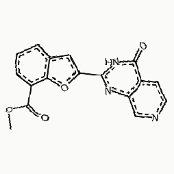 COC(=O)c1cccc2cc(-c3nc4cnccc4c(=O)[nH]3)oc12